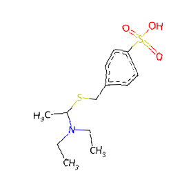 CCN(CC)C(C)SCc1ccc(S(=O)(=O)O)cc1